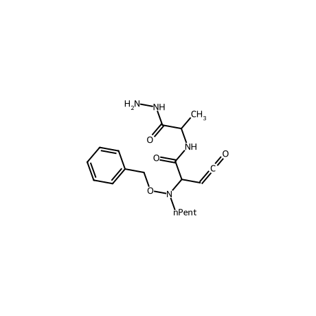 CCCCCN(OCc1ccccc1)C(C=C=O)C(=O)NC(C)C(=O)NN